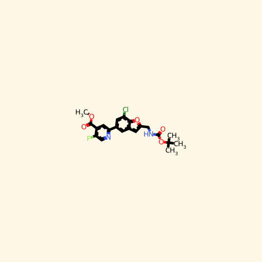 COC(=O)c1cc(-c2cc(Cl)c3oc(CNC(=O)OC(C)(C)C)cc3c2)ncc1F